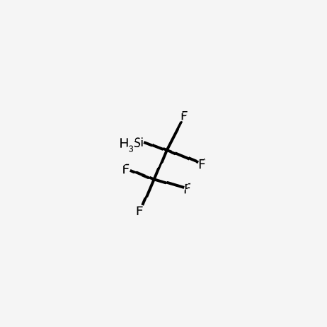 FC(F)(F)C(F)(F)[SiH3]